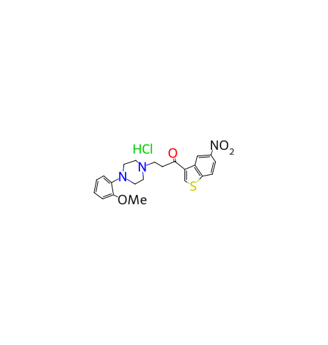 COc1ccccc1N1CCN(CCC(=O)c2csc3ccc([N+](=O)[O-])cc23)CC1.Cl